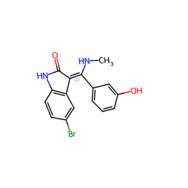 CN/C(=C1\C(=O)Nc2ccc(Br)cc21)c1cccc(O)c1